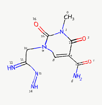 Cn1c(=O)c(C(N)=O)cn(CC(=N)N=N)c1=O